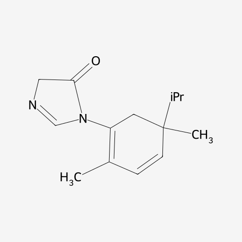 CC1=C(N2C=NCC2=O)CC(C)(C(C)C)C=C1